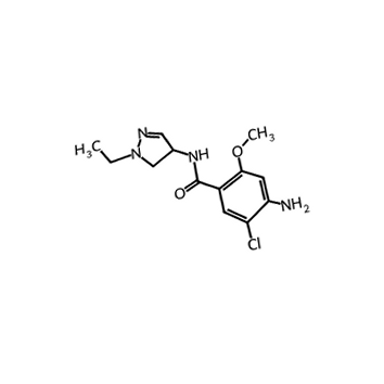 CCN1CC(NC(=O)c2cc(Cl)c(N)cc2OC)C=N1